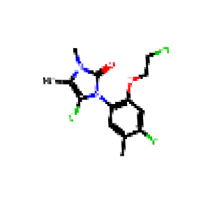 Cc1cc(-n2c(Cl)c(C#N)n(C)c2=O)c(OCCCl)cc1Cl